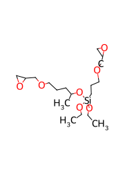 CCO[Si](CCCOCC1CO1)(OCC)OC(C)CCCOCC1CO1